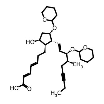 CCC#CC[C@H](C)[C@@H](C=C[C@@H]1[C@@H](CCC=CC=CC(=O)O)[C@@H](O)C[C@H]1OC1CCCCO1)OC1CCCCO1